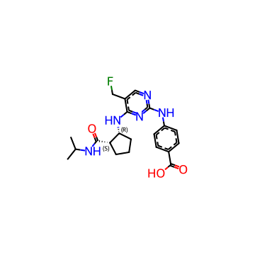 CC(C)NC(=O)[C@H]1CCC[C@H]1Nc1nc(Nc2ccc(C(=O)O)cc2)ncc1CF